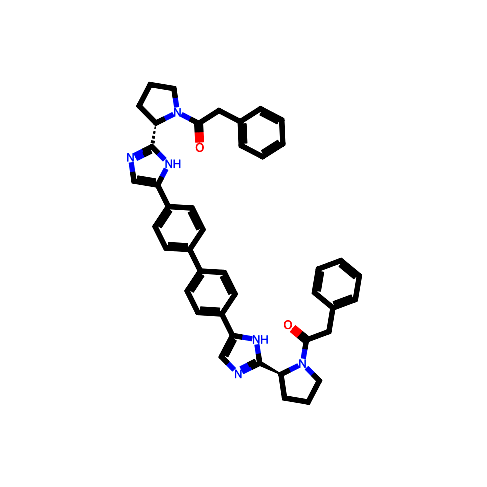 O=C(Cc1ccccc1)N1CCC[C@H]1c1ncc(-c2ccc(-c3ccc(-c4cnc([C@@H]5CCCN5C(=O)Cc5ccccc5)[nH]4)cc3)cc2)[nH]1